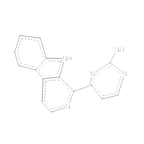 Nc1nccc(-c2nccc3c2[nH]c2ccccc23)n1